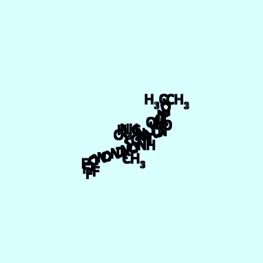 C[C@H]1CN(C2CCN(c3ccc(F)c(C(F)(F)F)c3)CC2)CCN1c1ccc(Nc2nc(-c3ccnc(N4CCn5c(cc6c5CC(C)(C)C6)C4=O)c3CO)cn(C)c2=O)cc1C=CC(N)=O